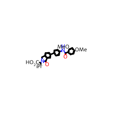 COc1ccc(C(=O)Nc2ccc(-c3ccc4c(c3)C(=O)N(C(C(=O)O)C(C)C)C4)cc2)c(OC)c1